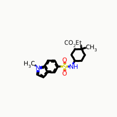 CCOC(=O)C1(C)CCC(NS(=O)(=O)c2ccc3c(ccn3C)c2)CC1